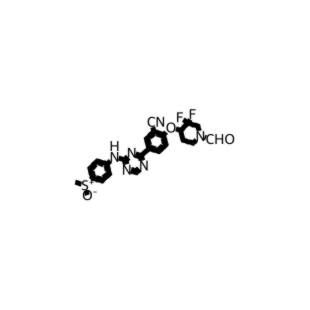 C[S+]([O-])c1ccc(Nc2ncnc(-c3ccc(OC4CCN(C=O)CC4(F)F)c(C#N)c3)n2)cc1